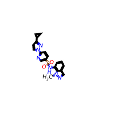 Cn1ncc2cccc(NS(=O)(=O)c3ccc(-n4ccc(C5CC5)n4)nc3)c21